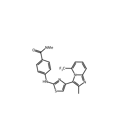 CNC(=O)c1ccc(Nc2nc(-c3c(C)nc4cccc(C(F)(F)F)n34)cs2)cc1